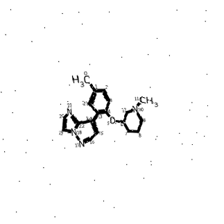 Cc1ccc(OC2CCCN(C)C2)c(-c2ccnn3ccnc23)c1